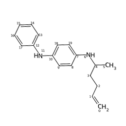 C=CCCC(C)Nc1ccc(Nc2ccccc2)cc1